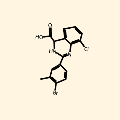 Cc1cc(C2=Nc3c(Cl)cccc3C(C(=O)O)N2)ccc1Br